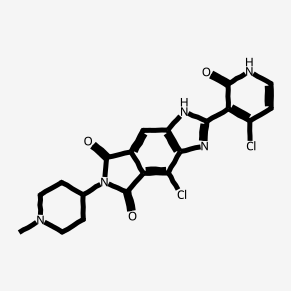 CN1CCC(N2C(=O)c3cc4[nH]c(-c5c(Cl)cc[nH]c5=O)nc4c(Cl)c3C2=O)CC1